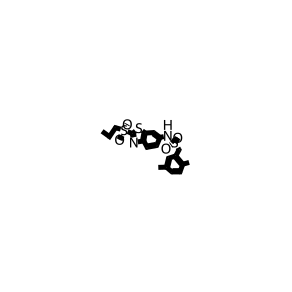 CCCS(=O)(=O)c1nc2ccc(NS(=O)(=O)Cc3cc(C)ccc3C)cc2s1